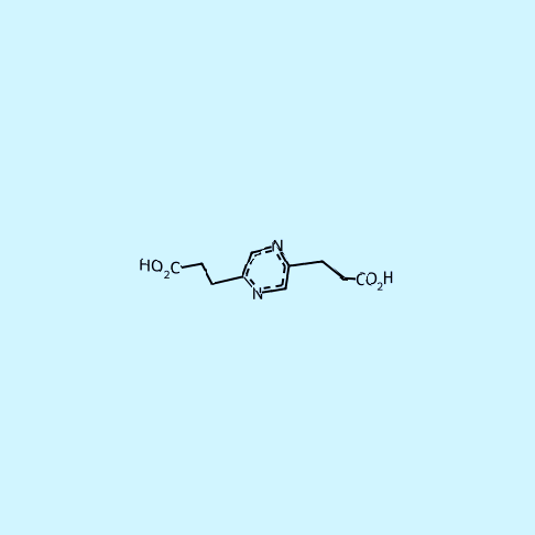 O=C(O)CCc1cnc(CCC(=O)O)cn1